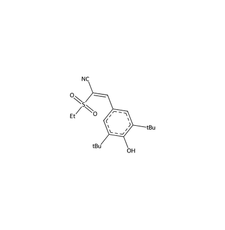 CCS(=O)(=O)/C(C#N)=C\c1cc(C(C)(C)C)c(O)c(C(C)(C)C)c1